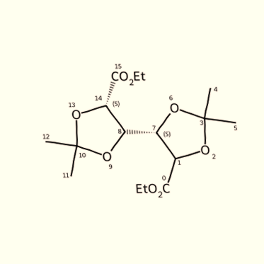 CCOC(=O)C1OC(C)(C)O[C@H]1C1OC(C)(C)O[C@@H]1C(=O)OCC